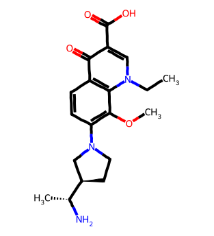 CCn1cc(C(=O)O)c(=O)c2ccc(N3CC[C@@H]([C@@H](C)N)C3)c(OC)c21